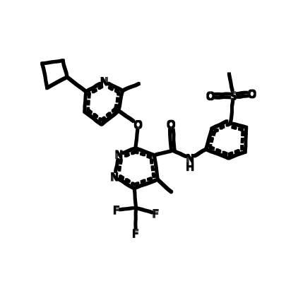 Cc1nc(C2CCC2)ccc1Oc1nnc(C(F)(F)F)c(C)c1C(=O)Nc1cccc(S(C)(=O)=O)c1